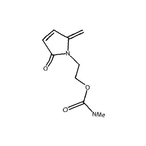 C=C1C=CC(=O)N1CCOC(=O)NC